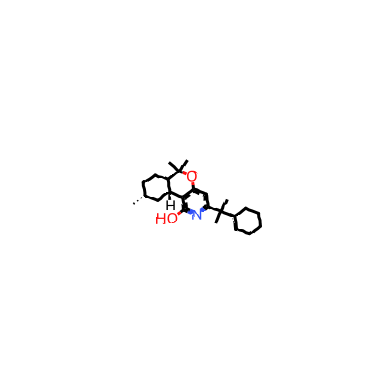 C[C@@H]1CCC2[C@@H](C1)c1c(cc(C(C)(C)C3CCCCC3)nc1O)OC2(C)C